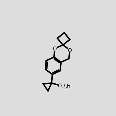 O=C(O)C1(c2ccc3c(c2)COC2(CCC2)O3)CC1